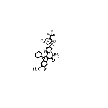 Cc1cc2c(cc1F)c(C(N)=O)c(-c1ncc(S(=O)(=O)N[C@@H](C)C(F)(F)F)cn1)n2C1CCCCC1